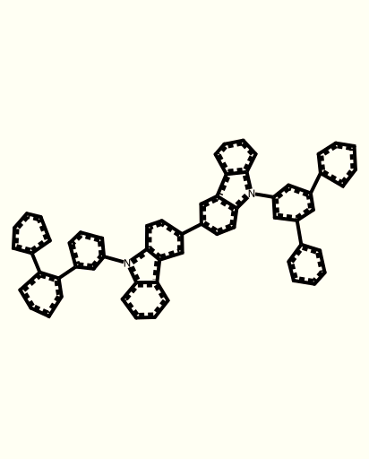 c1ccc(-c2cc(-c3ccccc3)cc(-n3c4ccccc4c4cc(-c5ccc6c(c5)c5ccccc5n6-c5cccc(-c6ccccc6-c6ccccc6)c5)ccc43)c2)cc1